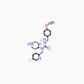 CCCOc1ccc(CNC(=O)N(Cc2ccc(F)cn2)[C@@H]2CCNC[C@@H]2F)cc1